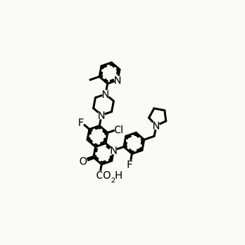 Cc1cccnc1N1CCN(c2c(F)cc3c(=O)c(C(=O)O)cn(-c4ccc(CN5CCCC5)cc4F)c3c2Cl)CC1